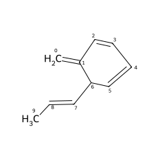 C=C1C=CC=CC1C=CC